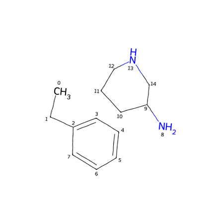 CCc1ccccc1.NC1CCCNC1